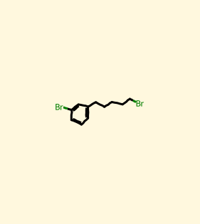 BrCCCCCc1cccc(Br)c1